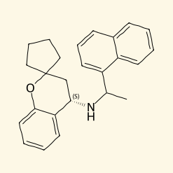 CC(N[C@H]1CC2(CCCC2)Oc2ccccc21)c1cccc2ccccc12